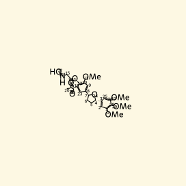 COc1cc([C@@H]2CC[C@@H](c3cc(OC)c(OCCNO)c(S(C)(=O)=O)c3)O2)cc(OC)c1OC